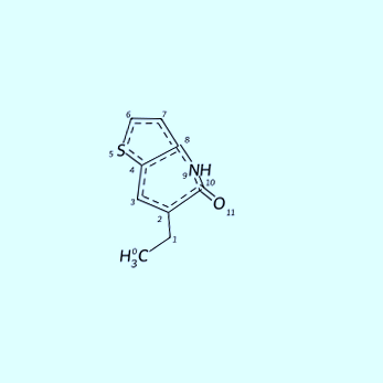 CCc1cc2sccc2[nH]c1=O